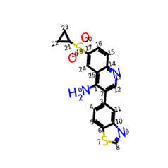 Nc1c(-c2ccc3scnc3c2)cnc2ccc(S(=O)(=O)C3CC3)cc12